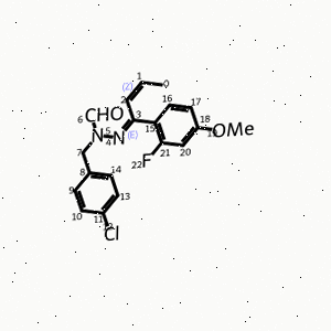 C/C=C\C(=N/N(C=O)Cc1ccc(Cl)cc1)c1ccc(OC)cc1F